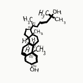 C[C@@H](CCCC(C)(C)O)[C@@H]1CC[C@H]2[C@@H]3CC=C4C[C@@H](O)CC[C@@]4(C)[C@H]3CC[C@]21C